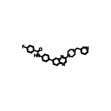 O=C(Nc1ccc(-c2ccc3ncc(N4CCN(Cc5cccnc5)CC4)nc3c2)cc1)c1ccc(F)cc1